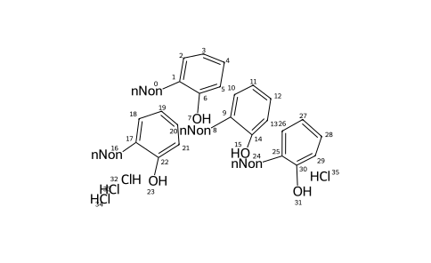 CCCCCCCCCc1ccccc1O.CCCCCCCCCc1ccccc1O.CCCCCCCCCc1ccccc1O.CCCCCCCCCc1ccccc1O.Cl.Cl.Cl.Cl